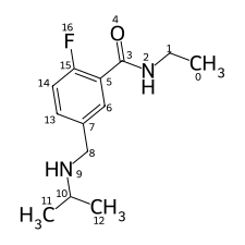 CCNC(=O)c1cc(CNC(C)C)ccc1F